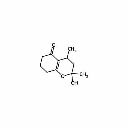 CC1CC(C)(O)OC2=C1C(=O)CCC2